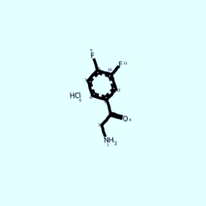 Cl.NCC(=O)c1ccc(F)c(F)c1